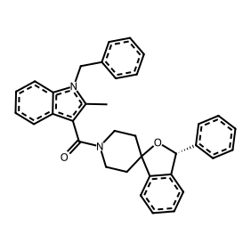 Cc1c(C(=O)N2CCC3(CC2)O[C@H](c2ccccc2)c2ccccc23)c2ccccc2n1Cc1ccccc1